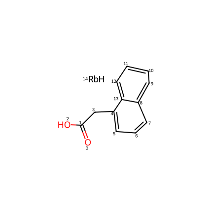 O=C(O)Cc1cccc2ccccc12.[RbH]